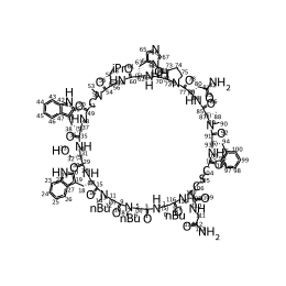 CCCC[C@@H]1NC(=O)[C@H](CCCC)N(C)C(=O)[C@H](CCCC)N(C)C(=O)[C@H](Cc2c[nH]c3ccccc23)NC(=O)[C@H](CO)NC(=O)[C@H](Cc2c[nH]c3ccccc23)NC(=O)CN(C)C(=O)[C@H](CC(C)C)NC(=O)[C@H](Cc2cnc[nH]2)NC(=O)[C@@H]2CCCN2C(=O)[C@H](CC(N)=O)NC(=O)[C@H](C)N(C)C(=O)[C@H](Cc2ccccc2)NC(=O)CSC[C@@H](C(=O)NCC(N)=O)NC1=O